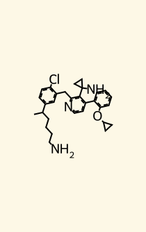 CC(CCCCN)c1ccc(Cl)c(Cc2nccc(-c3ccccc3OC3CC3)c2C2(N)CC2)c1